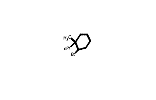 CCCC1(C)CCCCC1CC